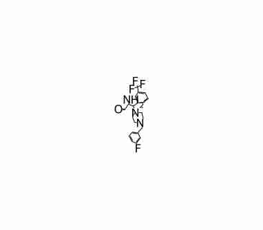 NC(C=O)C(c1cccc(C(F)(F)F)c1)N1CCN(Cc2cccc(F)c2)CC1